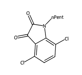 CCCCCN1C(=O)C(=O)c2c(Cl)ccc(Cl)c21